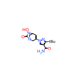 CC(C)(C)c1nn(C2=CC3CN(C2)C(=O)N3O)cc1C(N)=O